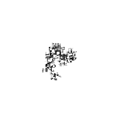 CCN(CC)CCNC(=O)O[C@H]1CC[C@H](Nc2cc(-n3c4c(c5c3CC(C)(C)CS5(=O)=O)CCC4)cc(F)c2C(N)=O)CC1